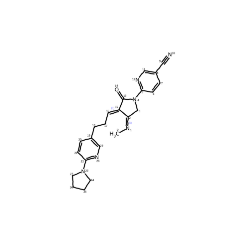 C/N=C1/CN(c2ccc(C#N)cn2)C(=O)/C1=C/CCc1ccc(N2CCCC2)nc1